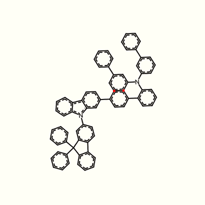 c1ccc(-c2cccc(N(c3cccc(-c4ccccc4)c3)c3ccccc3-c3ccc(-c4ccc5c6ccccc6n(-c6ccc7c(c6)C(c6ccccc6)(c6ccccc6)c6ccccc6-7)c5c4)cc3)c2)cc1